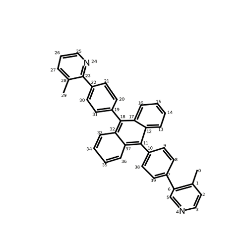 Cc1ccncc1-c1ccc(-c2c3ccccc3c(-c3ccc(-c4ncccc4C)cc3)c3ccccc23)cc1